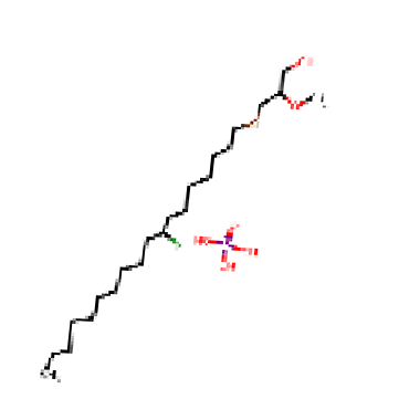 CCCCCCCCCCC(F)CCCCCCCSCC(CO)OC.O=P(O)(O)O